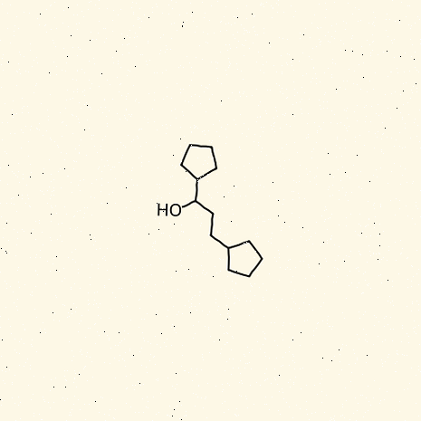 OC(CCC1CCCC1)C1CCCC1